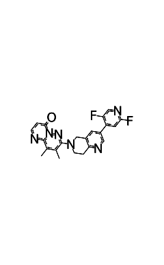 Cc1c(N2CCc3ncc(-c4cc(F)ncc4F)cc3C2)nn2c(=O)ccnc2c1C